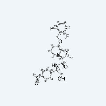 Cc1nc2c(OCc3c(F)cccc3F)cccn2c1C(=O)NC(CO)c1ccc([S+](C)[O-])cc1